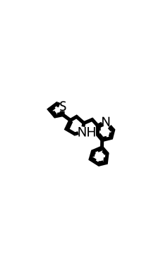 C1=C(c2cccs2)CC(Cc2cc(-c3ccccc3)ccn2)NC1